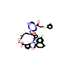 CO[C@@]1(CN2CCCN(C(=O)CCSc3ccccc3)CCNCC2)/C=C/C[C@H](C)[C@@H](C)S(=O)(=O)NC(=O)c2ccc3c(c2)N(C[C@@H]2CC[C@H]21)C[C@@]1(CCCc2cc(Cl)ccc21)CO3